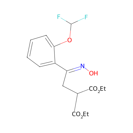 CCOC(=O)C(CC(=NO)c1ccccc1OC(F)F)C(=O)OCC